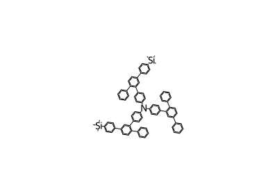 C[Si](C)(C)c1ccc(-c2ccc(-c3ccccc3)c(-c3ccc(N(c4ccc(-c5cc(-c6ccccc6)ccc5-c5ccccc5)cc4)c4ccc(-c5cc(-c6ccc([Si](C)(C)C)cc6)ccc5-c5ccccc5)cc4)cc3)c2)cc1